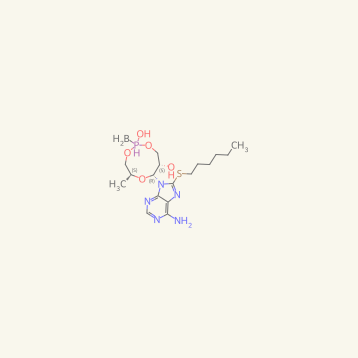 B[PH]1(O)OC[C@H](C)O[C@@H](n2c(SCCCCCC)nc3c(N)ncnc32)[C@@H](O)CO1